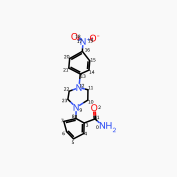 NC(=O)c1ccccc1N1CCN(c2ccc([N+](=O)[O-])cc2)CC1